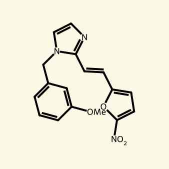 COc1cccc(Cn2ccnc2/C=C/c2ccc([N+](=O)[O-])o2)c1